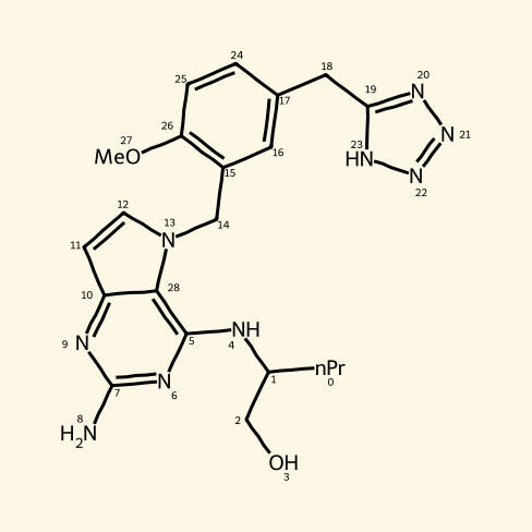 CCCC(CO)Nc1nc(N)nc2ccn(Cc3cc(Cc4nnn[nH]4)ccc3OC)c12